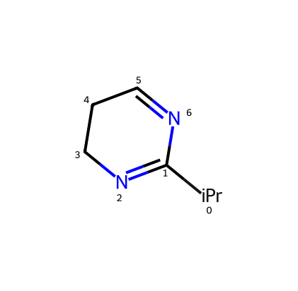 CC(C)C1=NCCC=N1